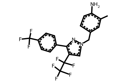 Cc1cc(Cn2cc(C(F)(F)C(F)(F)F)c(-c3ccc(C(F)(F)F)cc3)n2)ccc1N